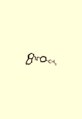 Cc1ccc(C=Nc2cccc3ccccc23)cc1